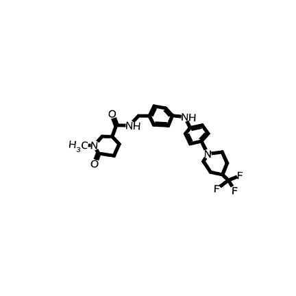 CN1CC(C(=O)NCc2ccc(Nc3ccc(N4CCC(C(F)(F)F)CC4)cc3)cc2)CCC1=O